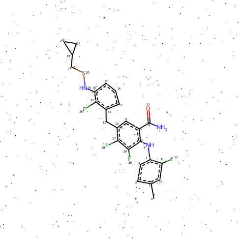 Cc1ccc(Nc2c(C(N)=O)cc(Cc3cccc(NSCC4CC4)c3F)c(F)c2F)c(F)c1